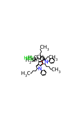 CCCCC1=[C]([Zr]([CH3])([CH3])(=[SiH2])[C]2=C(CCCC)C=C3C2=CC(CCCC)N3c2ccccc2)C2=CC(CCCC)N(c3ccccc3)C2=C1.Cl.Cl